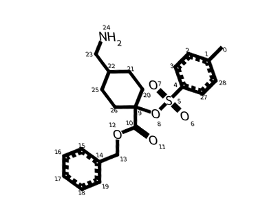 Cc1ccc(S(=O)(=O)OC2(C(=O)OCc3ccccc3)CCC(CN)CC2)cc1